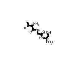 CC(O)C(N)C(=O)NCC(=O)N[C@@H](CO)C(=O)O